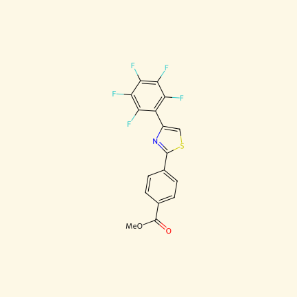 COC(=O)c1ccc(-c2nc(-c3c(F)c(F)c(F)c(F)c3F)cs2)cc1